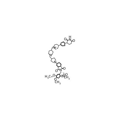 CCOc1cc([C@@H](CS(C)(=O)=O)N2C(=O)c3ccc(N4CCC(CN5CCC(CN6CCC(c7ccc(C8CCC(=O)NC8=O)cc7)CC6)CC5)CC4)cc3C2=O)ccc1OC